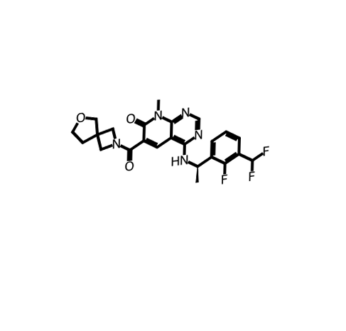 C[C@@H](Nc1ncnc2c1cc(C(=O)N1CC3(CCOC3)C1)c(=O)n2C)c1cccc(C(F)F)c1F